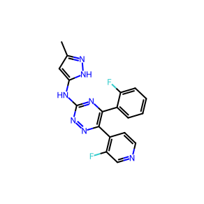 Cc1cc(Nc2nnc(-c3ccncc3F)c(-c3ccccc3F)n2)[nH]n1